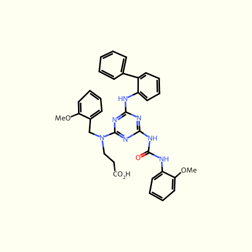 COc1ccccc1CN(CCC(=O)O)c1nc(NC(=O)Nc2ccccc2OC)nc(Nc2ccccc2-c2ccccc2)n1